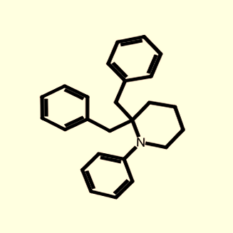 c1ccc(CC2(Cc3ccccc3)CCCCN2c2ccccc2)cc1